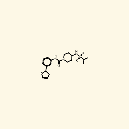 CC(C)S(=O)(=O)NC1CCN(C(=O)Nc2cccc(C3CC=CO3)c2)CC1